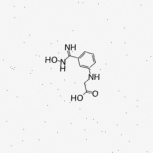 N=C(NO)c1cccc(NCC(=O)O)c1